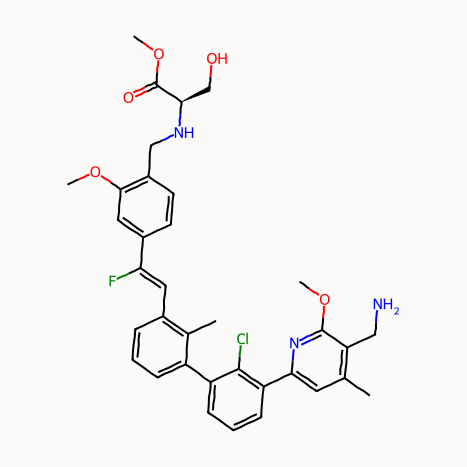 COC(=O)[C@@H](CO)NCc1ccc(/C(F)=C/c2cccc(-c3cccc(-c4cc(C)c(CN)c(OC)n4)c3Cl)c2C)cc1OC